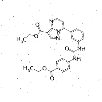 CCOC(=O)c1ccc(NC(=O)Nc2cccc(-c3ccnc4c(C(=O)OCC)cnn34)c2)cc1